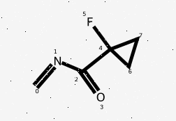 C=NC(=O)C1(F)CC1